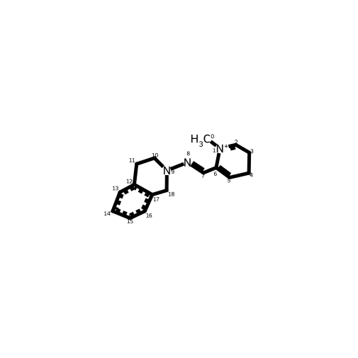 C[N+]1=CCCC=C1C=NN1CCc2ccccc2C1